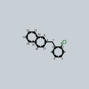 Clc1ccccc1Cc1[c]c2ccccc2cc1